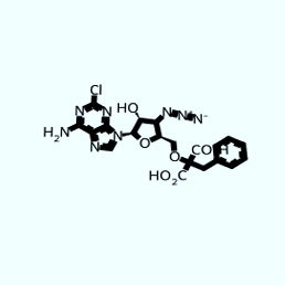 [N-]=[N+]=NC1[C@@H](O)[C@H](n2cnc3c(N)nc(Cl)nc32)O[C@@H]1COC(Cc1ccccc1)(C(=O)O)C(=O)O